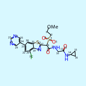 COCCS(=O)(=O)C(C(=O)NCC(=O)NC1CC1)c1nc2c(F)cc(-c3cncnc3)cc2s1